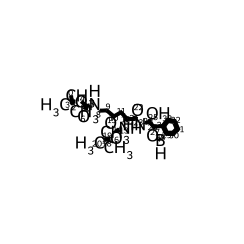 CC(C)(C)OC(=O)NCCCCC(NC(=O)OC(C)(C)C)C(=O)NC(O)C1OBc2ccccc21